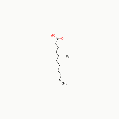 CCCCCCCCCCC(=O)O.[Fe]